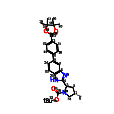 C[C@H]1CC(c2nc3cc(-c4ccc(B5OC(C)(C)C(C)(C)O5)cc4)ccc3[nH]2)N(C(=O)OC(C)(C)C)C1